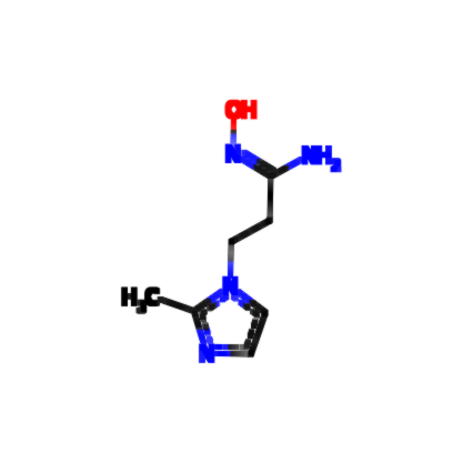 Cc1nccn1CCC(N)=NO